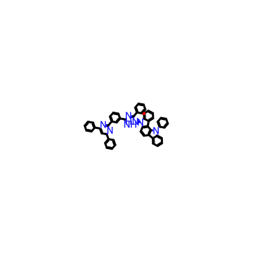 N=C(/N=C(\Nn1c2ccccc2c2c1ccc1c3ccccc3n(-c3ccccc3)c12)c1ccccc1)c1cccc(-c2nc(-c3ccccc3)cc(-c3ccccc3)n2)c1